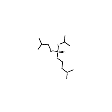 CC(C)COP(=O)(OC(C)C)SCCN(C)C